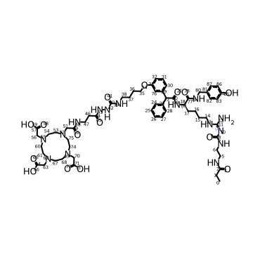 CCC(=O)NCCNC(=O)/N=C(/N)NCCCC[C@@H](NC(=O)C(c1ccccc1)c1cccc(OCCCCNC(=O)NNC(=O)CCNC(=O)CN2CCN(CC(=O)O)CCN(CC(=O)O)CCN(CC(=O)O)CC2)c1)C(=O)NCc1ccc(O)cc1